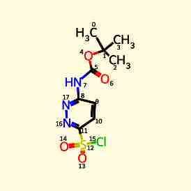 CC(C)(C)OC(=O)Nc1ccc(S(=O)(=O)Cl)nn1